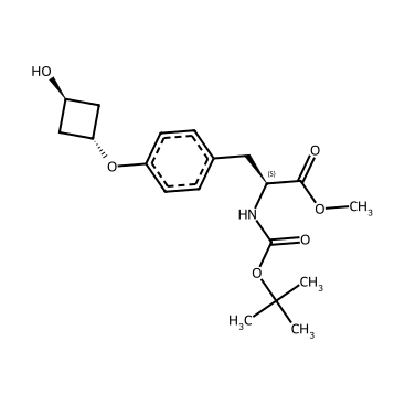 COC(=O)[C@H](Cc1ccc(O[C@H]2C[C@H](O)C2)cc1)NC(=O)OC(C)(C)C